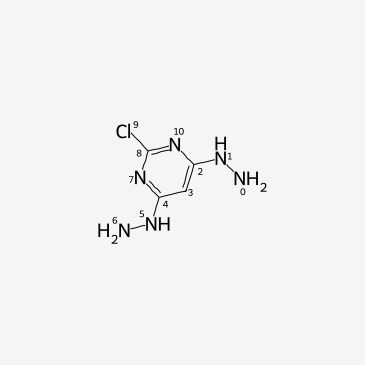 NNc1cc(NN)nc(Cl)n1